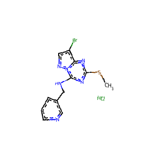 CSc1nc(NCc2cccnc2)n2ncc(Br)c2n1.Cl